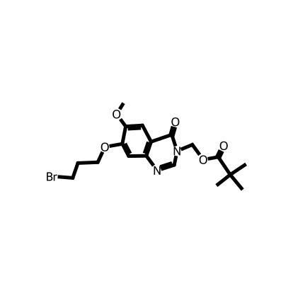 COc1cc2c(=O)n(COC(=O)C(C)(C)C)cnc2cc1OCCCBr